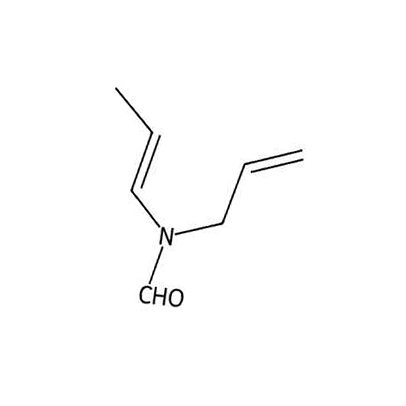 C=CCN(C=O)C=CC